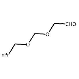 CCCCOCOC[C]=O